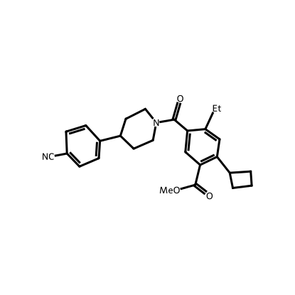 CCc1cc(C2CCC2)c(C(=O)OC)cc1C(=O)N1CCC(c2ccc(C#N)cc2)CC1